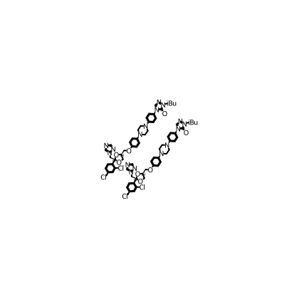 CCC(C)n1ncn(-c2ccc(N3CCN(c4ccc(OC[C@H]5CO[C@](Cn6cncn6)(c6ccc(Cl)cc6Cl)O5)cc4)CC3)cc2)c1=O.CCC(C)n1ncn(-c2ccc(N3CCN(c4ccc(OC[C@H]5CO[C@](Cn6cncn6)(c6ccc(Cl)cc6Cl)O5)cc4)CC3)cc2)c1=O